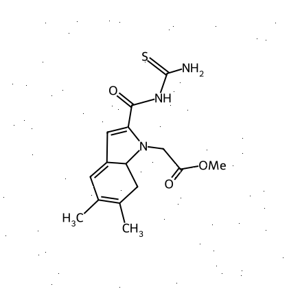 COC(=O)CN1C(C(=O)NC(N)=S)=CC2=CC(C)=C(C)CC21